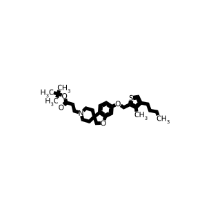 CCCCc1csc(COc2ccc3c(c2)OCC32CCN(CCC(=O)OC(C)(C)C)CC2)c1C